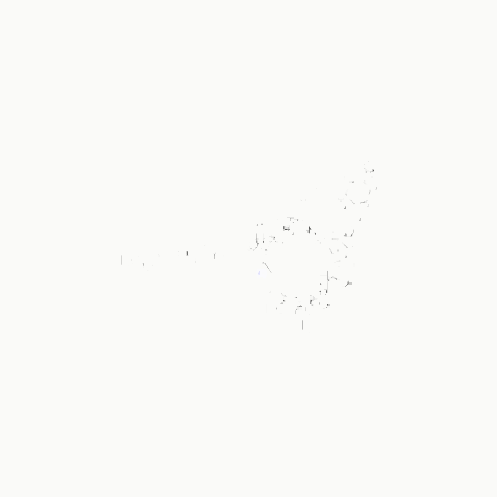 COCCOCCOCCO[C@H]1/C=C/C[C@H](C)[C@@H](C)S(=O)(=O)NC(=O)c2ccc3c(c2)N(CCCCc2cc(Cl)ccc2CO3)C[C@@H]2CC[C@@H]21